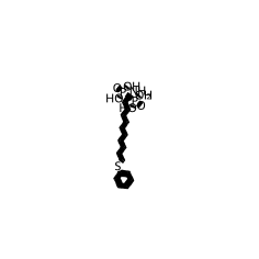 NC(CCCCCCCCCCSc1ccccc1)(P(=O)(O)O)P(=O)(O)O